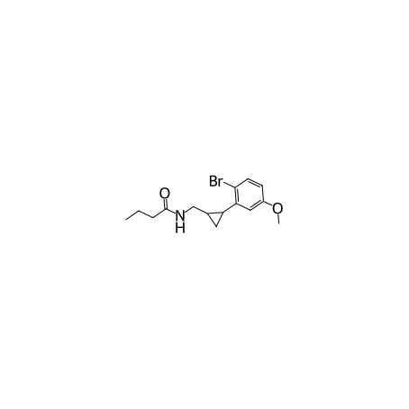 CCCC(=O)NCC1CC1c1cc(OC)ccc1Br